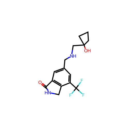 O=C1NCc2c1cc(CNCC1(O)CCC1)cc2C(F)(F)F